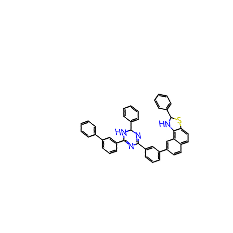 c1ccc(-c2cccc(C3=NC(c4cccc(-c5ccc6ccc7c(c6c5)NC(c5ccccc5)S7)c4)=NC(c4ccccc4)N3)c2)cc1